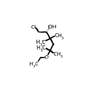 CCOC(C)(C)CC(C)(C)[C@@H](O)CCl